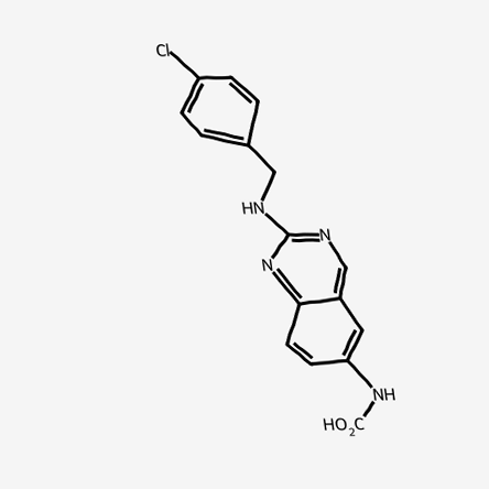 O=C(O)Nc1ccc2nc(NCc3ccc(Cl)cc3)ncc2c1